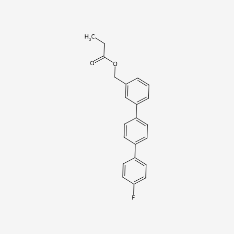 CCC(=O)OCc1cccc(-c2ccc(-c3ccc(F)cc3)cc2)c1